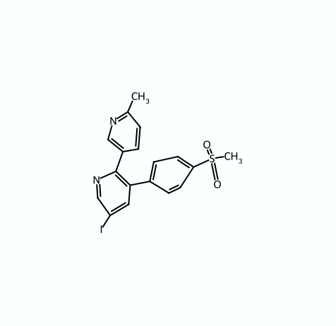 Cc1ccc(-c2ncc(I)cc2-c2ccc(S(C)(=O)=O)cc2)cn1